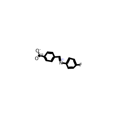 O=[N+]([O-])c1ccc(/C=N/c2ccc(F)cc2)cc1